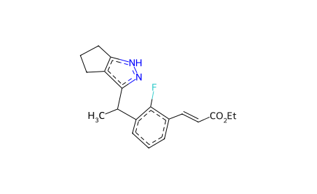 CCOC(=O)/C=C/c1cccc(C(C)c2n[nH]c3c2CCC3)c1F